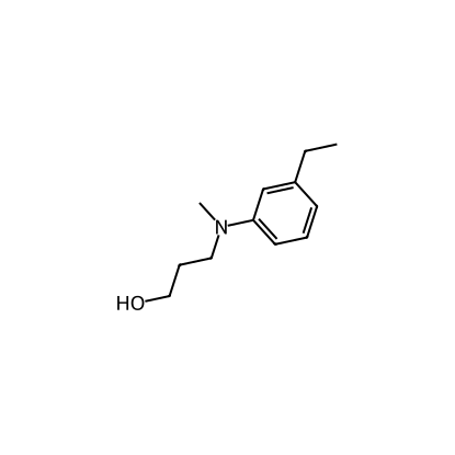 CCc1cccc(N(C)CCCO)c1